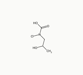 CC(O)CN(Cl)C(=O)O